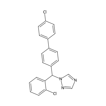 Clc1ccc(-c2ccc(C(c3ccccc3Cl)n3cncn3)cc2)cc1